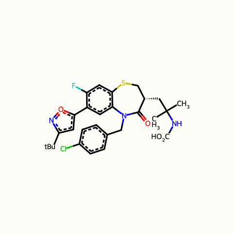 CC(C)(C[C@H]1CSc2cc(F)c(-c3cc(C(C)(C)C)no3)cc2N(Cc2ccc(Cl)cc2)C1=O)NC(=O)O